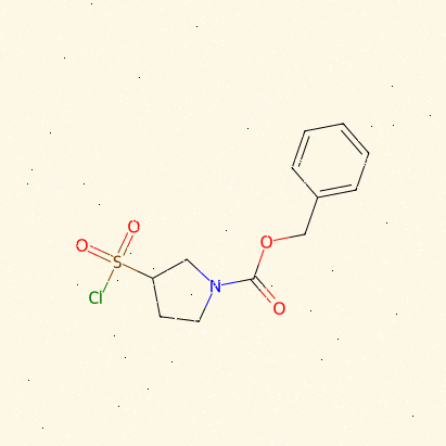 O=C(OCc1ccccc1)N1CCC(S(=O)(=O)Cl)C1